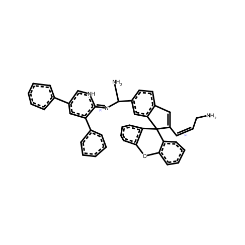 NC/C=C\C1=Cc2ccc(C(N)/N=c3\[nH]cc(-c4ccccc4)cc3-c3ccccc3)cc2C12c1ccccc1Oc1ccccc12